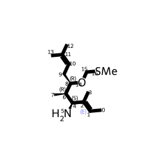 C/C=C(\C)[C@@H](N)[C@@H](C)[C@@H](CC=C(C)C)OCSC